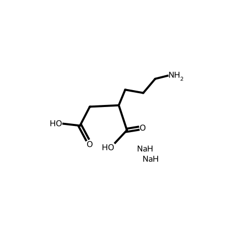 NCCCC(CC(=O)O)C(=O)O.[NaH].[NaH]